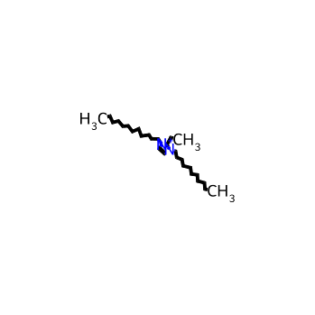 CCCCCCCCCCCC[n+]1ccn(CCCCCCCCCCC)c1CC